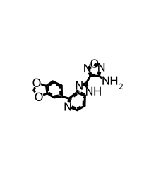 Nc1nonc1-c1nc2c(-c3ccc4c(c3)OCO4)nccc2[nH]1